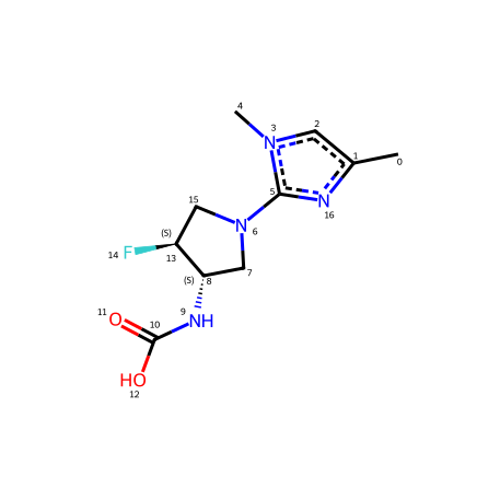 Cc1cn(C)c(N2C[C@H](NC(=O)O)[C@@H](F)C2)n1